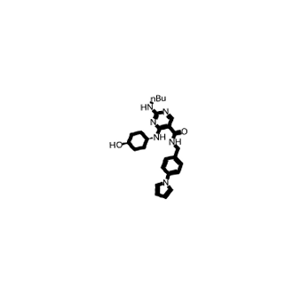 CCCCNc1ncc(C(=O)NCc2ccc(-n3cccc3)cc2)c(N[C@H]2CC[C@H](O)CC2)n1